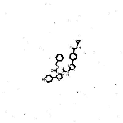 O=C(NC1CC1)c1ccc(-c2csc(NC(=O)[C@@H]3CSC(C4=CCNC=C4)N3C(=O)OCc3ccccc3)n2)cc1